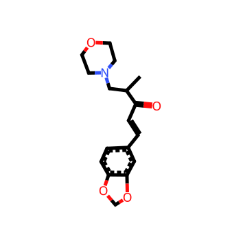 CC(CN1CCOCC1)C(=O)/C=C/c1ccc2c(c1)OCO2